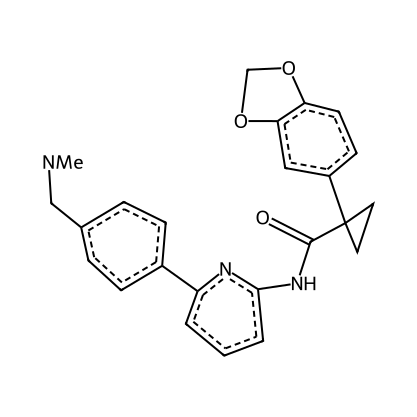 CNCc1ccc(-c2cccc(NC(=O)C3(c4ccc5c(c4)OCO5)CC3)n2)cc1